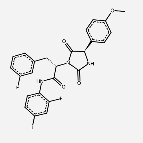 COc1ccc([C@H]2NC(=O)N([C@@H](Cc3cccc(F)c3)C(=O)Nc3ccc(I)cc3F)C2=O)cc1